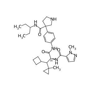 CCC(CC)NC(=O)C1(c2ccc(NC(=O)[C@@H](NC(=O)c3ccnn3C)C(C3CCC3)C3(C)CC3)cc2)CCNC1